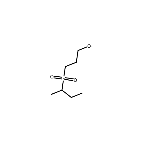 CCC(C)S(=O)(=O)CCC[O]